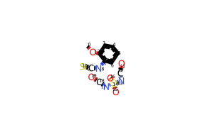 COc1ccccc1N=C=S.O=C=NS(=O)(=O)N=C=O